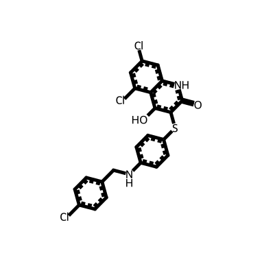 O=c1[nH]c2cc(Cl)cc(Cl)c2c(O)c1Sc1ccc(NCc2ccc(Cl)cc2)cc1